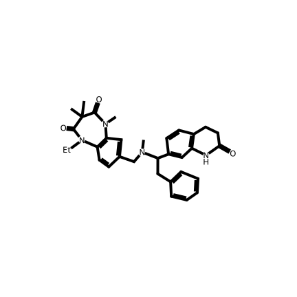 CCN1C(=O)C(C)(C)C(=O)N(C)c2cc(CN(C)C(Cc3ccccc3)c3ccc4c(c3)NC(=O)CC4)ccc21